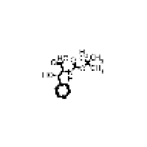 CC(C)(C)OC(=O)N[C@H](C(=O)O)[C@H](O)c1ccccc1